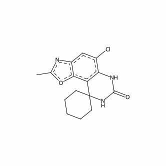 Cc1nc2cc(Cl)c3c(c2o1)C1(CCCCC1)NC(=O)N3